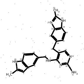 Cc1cc2cc(CNc3nc(N)ncc3Cc3ccc4[nH]c(C)nc4c3)ccc2[nH]1